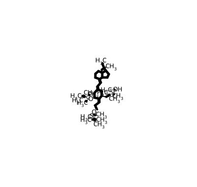 CC[C@@]1(C)C[C@]23CCC/C(=C\C=C4/C[C@@H](CC(C)(C)[Si](C)(C)O)/C(=C/CCO[Si](C)(C)C(C)(C)C)[C@H](O[Si](C)(C)C(C)(C)C)C4)C2CCC13